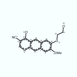 COc1cc2cc3ncc(C#N)c(Cl)c3cc2cc1OCCCl